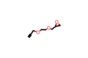 C#CCOCCOCC1CO1